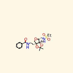 CCS(=O)(=O)NC[C@H]1OC[C@]2(CCNC(=O)c3ccccc3)OC(C)(C)O[C@H]12